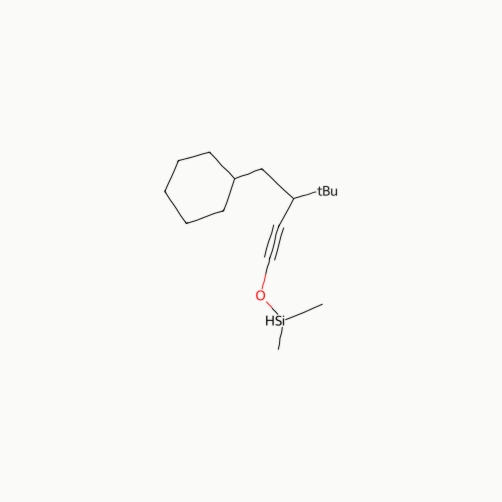 C[SiH](C)OC#CC(CC1CCCCC1)C(C)(C)C